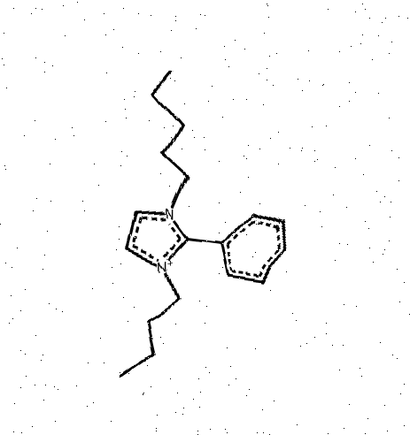 CCCCCn1cc[n+](CCCC)c1-c1ccccc1